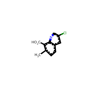 Cc1ccc2cc(Cl)cnc2c1C(=O)O